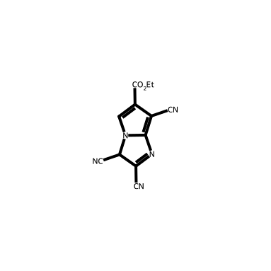 CCOC(=O)c1cn2c(c1C#N)N=C(C#N)C2C#N